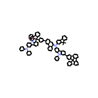 CC1(C)c2ccccc2-c2ccc(N(c3ccc4c(c3)c3ccc(-c5ccc(C6(c7ccccc7)c7ccccc7-c7ccccc76)cc5)cc3n4-c3ccccc3)c3cc4ccc(-c5ccc(C6(c7cccc8c9cc(N(c%10ccccc%10)c%10ccccc%10)ccc9n(-c9ccccc9)c78)C7=C(C=CCC7)c7ccccc76)cc5)cc4c4ccccc34)cc21